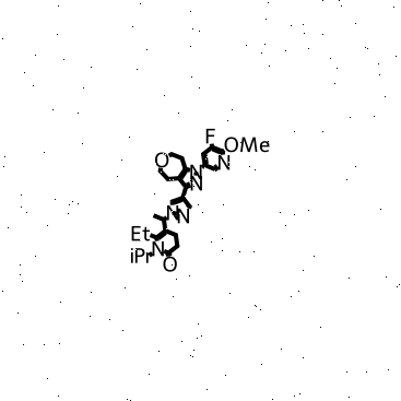 CCC1=C(C(C)n2cc(-c3nn(-c4cnc(OC)c(F)c4)c4c3CCOCC4)cn2)CCC(=O)N1C(C)C